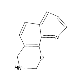 c1cnc2c3c(ccc2c1)CNCO3